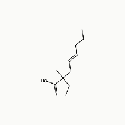 CCCC=CCC(C)(CC)C(O)=S